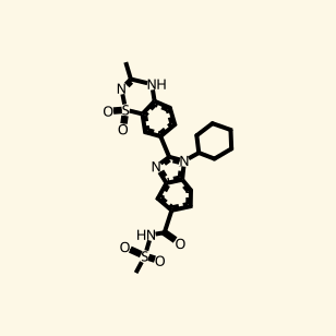 CC1=NS(=O)(=O)c2cc(-c3nc4cc(C(=O)NS(C)(=O)=O)ccc4n3C3CCCCC3)ccc2N1